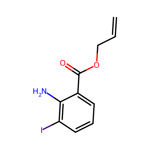 C=CCOC(=O)c1cccc(I)c1N